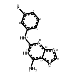 Nc1[nH]c(Nc2cccc(F)c2)nc2ncnc1-2